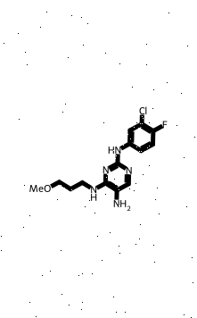 COCCCNc1nc(Nc2ccc(F)c(Cl)c2)ncc1N